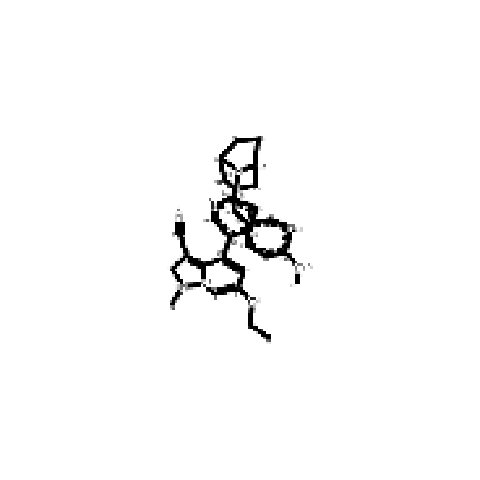 CCOC1=CN2C(=C(C#N)CN2C)C(c2ccc(N3C4CCC3CN(Cc3ccc(OC)nc3)C4)nc2)=C1